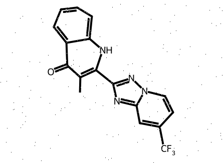 Cc1c(-c2nc3cc(C(F)(F)F)ccn3n2)[nH]c2ccccc2c1=O